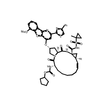 COc1cccc2c1oc1c(O[C@@H]3C[C@H]4C(=O)N[C@]5(C(=O)NS(=O)(=O)C6(C)CC6)C[C@H]5/C=C\CCCCC[C@H](NC(=O)OC5CCCC5)C(=O)N4C3)cc(-c3nc(C(C)C)cs3)nc12